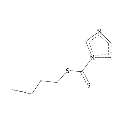 CCCCSC(=S)n1ccnc1